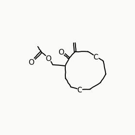 C=C1CCCCCCCCCC(COC(C)=O)C1=O